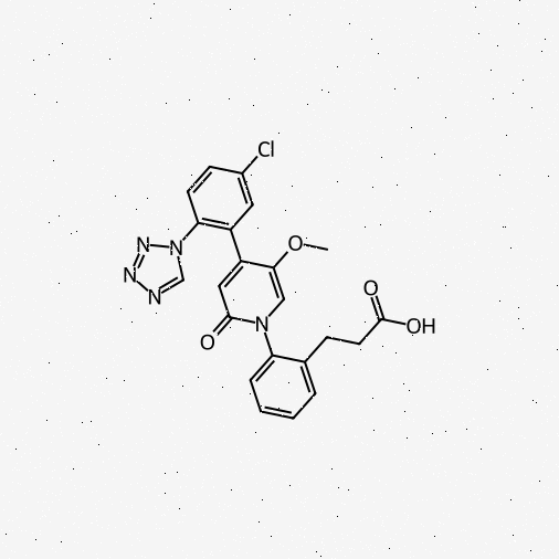 COc1cn(-c2ccccc2CCC(=O)O)c(=O)cc1-c1cc(Cl)ccc1-n1cnnn1